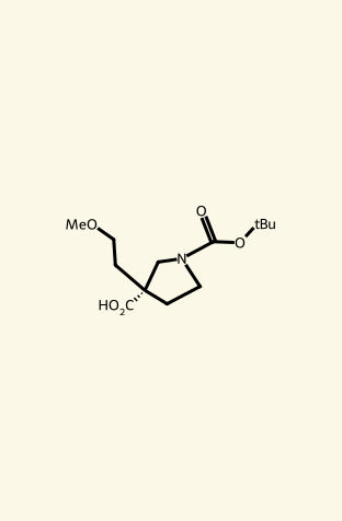 COCC[C@]1(C(=O)O)CCN(C(=O)OC(C)(C)C)C1